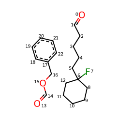 O=CCCCCC1(F)CCCCC1.O=COCc1ccccc1